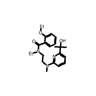 CCOc1ccccc1C(=O)N(CC)CCN(C)c1cccc(C(C)(C)O)n1